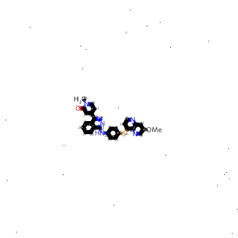 COc1cnc2c(Sc3ccc(Nc4nnc(-c5ccn(C)c(=O)c5)c5ccccc45)cc3)ccnc2c1